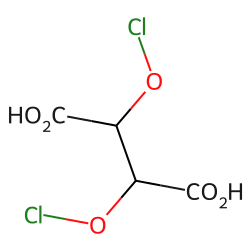 O=C(O)C(OCl)C(OCl)C(=O)O